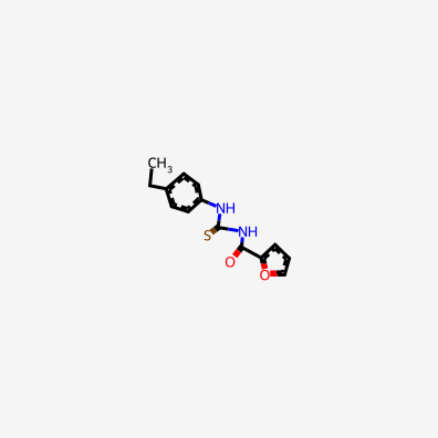 CCc1ccc(NC(=S)NC(=O)c2ccco2)cc1